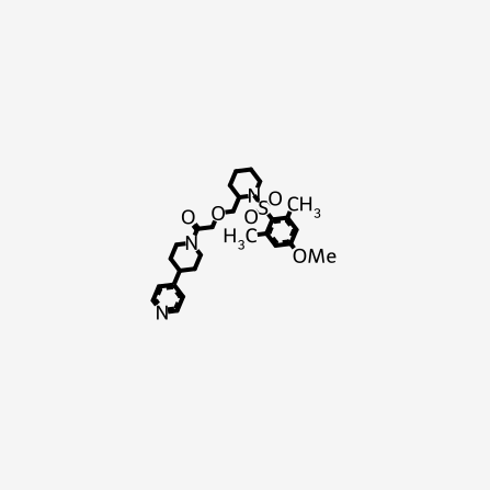 COc1cc(C)c(S(=O)(=O)N2CCCCC2COCC(=O)N2CCC(c3ccncc3)CC2)c(C)c1